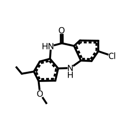 CCc1cc2c(cc1OC)Nc1cc(Cl)ccc1C(=O)N2